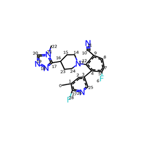 Cc1cc(-c2c(F)ccc(C#N)c2N2CCC(c3nncn3C)CC2)cnc1F